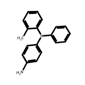 Cc1ccccc1N(c1ccccc1)c1ccc(N)cc1